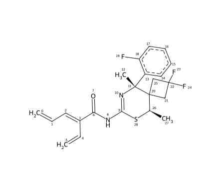 C=C/C=C(\C=C)C(=O)NC1=N[C@](C)(c2ccccc2F)C2(CC(F)(F)C2)[C@@H](C)S1